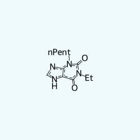 CCCCCn1c(=O)n(CC)c(=O)c2[nH]cnc21